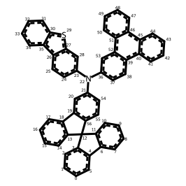 c1ccc2c(c1)-c1ccccc1C21c2ccccc2-c2cc(N(c3ccc4c(c3)sc3ccccc34)c3ccc4c5ccccc5c5ccccc5c4c3)ccc21